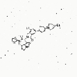 CCN1CCN(c2ccc(-c3cc(Cl)c4c(c3)C(=O)N(C(C(=O)Nc3nccs3)c3ncn5c3CCC5)C4)cc2)CC1